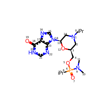 CC(C)N1C[C@@H](COP(=O)(C(C)C)N(C)C)O[C@@H](n2cnc3c(=O)[nH]cnc32)C1